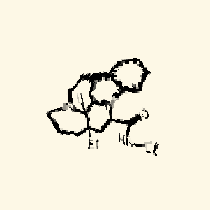 CCNC(=O)C1=C[C@]2(CC)CCCN3CCc4c(n1c1ccccc41)[C@@H]32